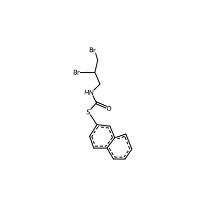 O=C(NCC(Br)CBr)Sc1ccc2ccccc2c1